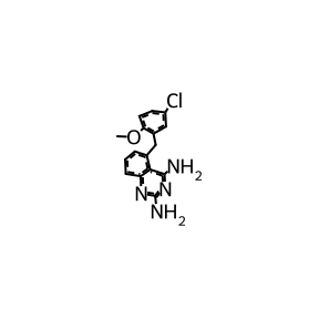 COc1ccc(Cl)cc1Cc1cccc2nc(N)nc(N)c12